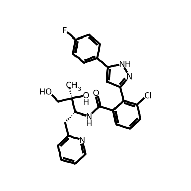 C[C@@](O)(CO)[C@@H](Cc1ccccn1)NC(=O)c1cccc(Cl)c1-c1cc(-c2ccc(F)cc2)[nH]n1